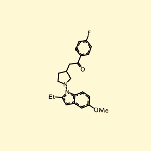 CCc1cc2cc(OC)ccc2n1N1CCC(CC(=O)c2ccc(F)cc2)C1